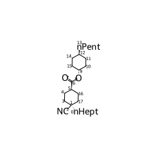 CCCCCCC[C@]1(C#N)CC[C@@H](C(=O)O[C@H]2CC[C@H](CCCCC)CC2)CC1